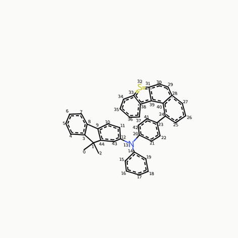 CC1(C)c2ccccc2-c2ccc(N(c3ccccc3)c3ccc(-c4cccc5ccc6sc7ccccc7c6c45)cc3)cc21